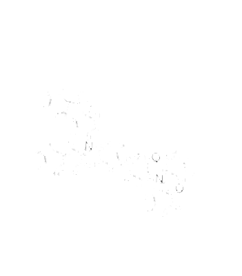 CC1(C)c2ccccc2-c2cc(N(c3ccc(-c4cc5c6c(c4)c4cccc7c4n6-c4c(cccc4O5)O7)cc3)c3ccc4ccccc4c3)ccc21